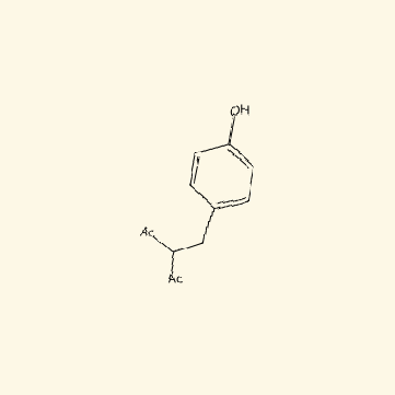 CC(=O)C(Cc1ccc(O)cc1)C(C)=O